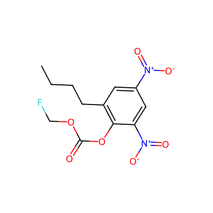 CCCCc1cc([N+](=O)[O-])cc([N+](=O)[O-])c1OC(=O)OCF